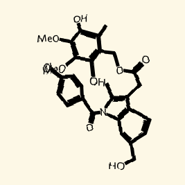 COc1c(O)c(C)c(COC(=O)Cc2c(C)n(C(=O)c3ccc(Cl)cc3)c3cc(CO)ccc23)c(O)c1OC